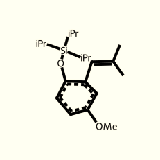 COc1ccc(O[Si](C(C)C)(C(C)C)C(C)C)c(C=C(C)C)c1